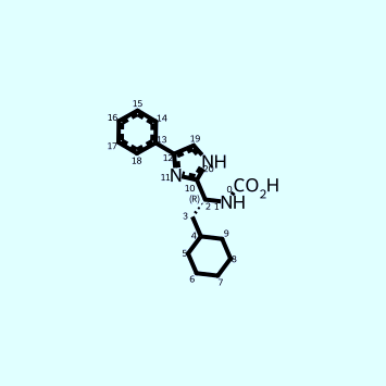 O=C(O)N[C@H](CC1CCCCC1)c1nc(-c2ccccc2)c[nH]1